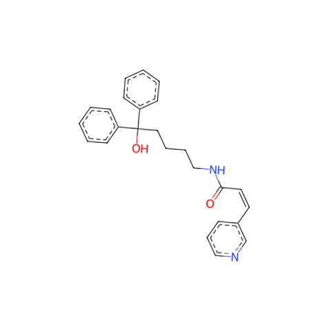 O=C(/C=C\c1cccnc1)NCCCCC(O)(c1ccccc1)c1ccccc1